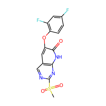 CS(=O)(=O)c1ncc2cc(Oc3ccc(F)cc3F)c(=O)[nH]c2n1